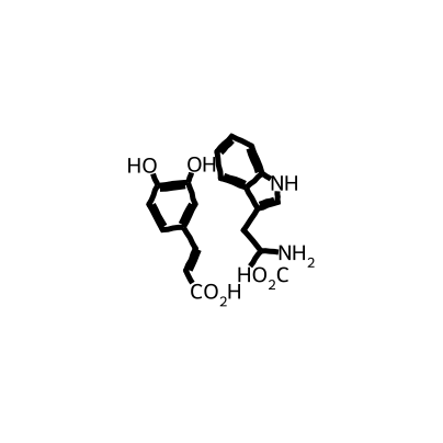 NC(Cc1c[nH]c2ccccc12)C(=O)O.O=C(O)C=Cc1ccc(O)c(O)c1